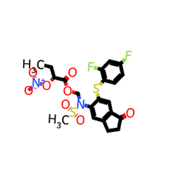 CCC(O[N+](=O)[O-])C(=O)OCN(c1cc2c(cc1Sc1ccc(F)cc1F)C(=O)CC2)S(C)(=O)=O